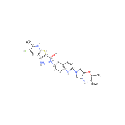 COCC(C)OC1CN(c2ccc3c(n2)CCC(NC(=O)c2sc4nc(C)c(F)cc4c2N)C3)CC1N